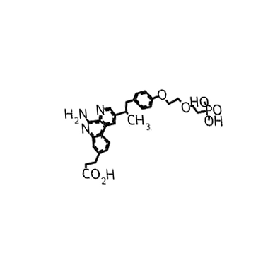 CC(Cc1ccc(OCCOCCP(=O)(O)O)cc1)c1cnc2c(N)nc3cc(CCC(=O)O)ccc3c2c1